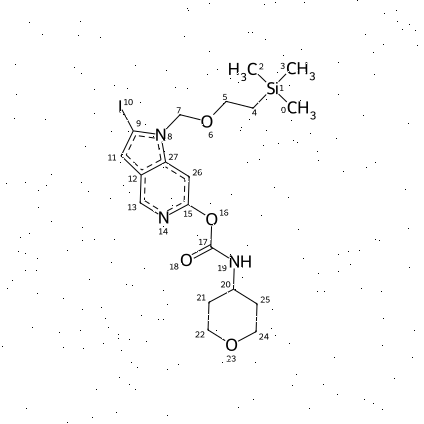 C[Si](C)(C)CCOCn1c(I)cc2cnc(OC(=O)NC3CCOCC3)cc21